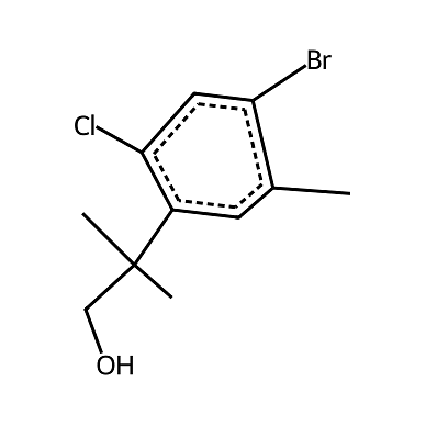 Cc1cc(C(C)(C)CO)c(Cl)cc1Br